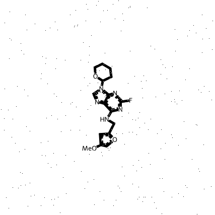 COc1coc(CNc2nc(F)nc3c2ncn3C2CCCCO2)c1